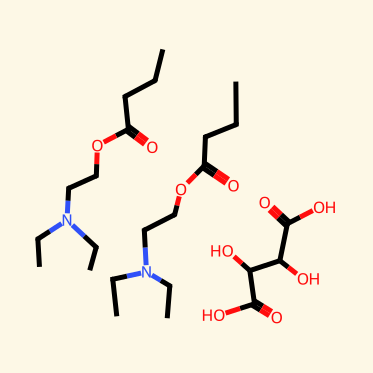 CCCC(=O)OCCN(CC)CC.CCCC(=O)OCCN(CC)CC.O=C(O)C(O)C(O)C(=O)O